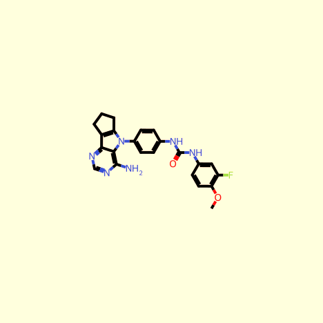 COc1ccc(NC(=O)Nc2ccc(-n3c4c(c5ncnc(N)c53)CCC4)cc2)cc1F